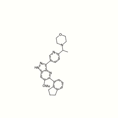 COc1cc2[nH]nc(-c3ccc(C(C)N4CCOCC4)nc3)c2nc1-c1cccc2c1CCC2